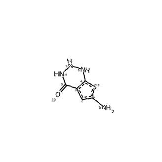 Nc1cc2c(s1)NNNC2=O